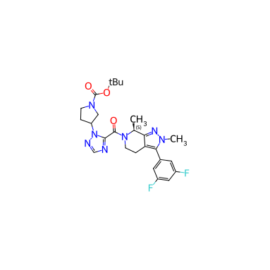 C[C@H]1c2nn(C)c(-c3cc(F)cc(F)c3)c2CCN1C(=O)c1ncnn1C1CCN(C(=O)OC(C)(C)C)C1